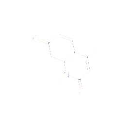 Cc1cc(=O)n(C)c2c1C=CC(=O)C2